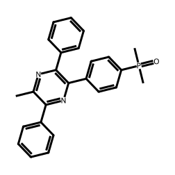 Cc1nc(-c2ccccc2)c(-c2ccc(P(C)(C)=O)cc2)nc1-c1ccccc1